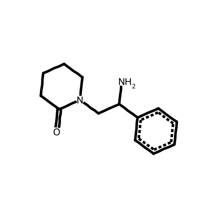 NC(CN1CCCCC1=O)c1ccccc1